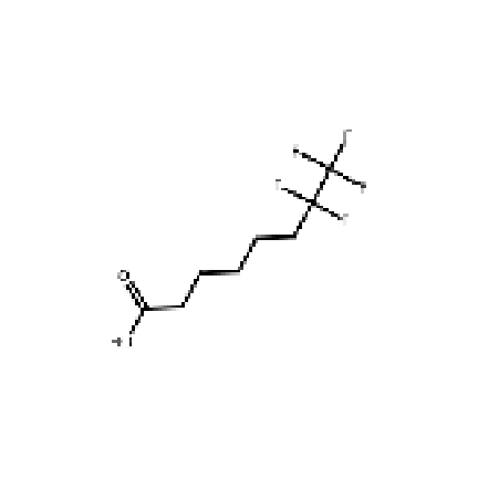 O=C(O)CCCCCC(F)(F)C(F)(F)F